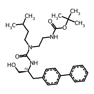 CC(C)CCN(CCNC(=O)OC(C)(C)C)C(=O)N[C@H](CO)Cc1ccc(-c2ccccc2)cc1